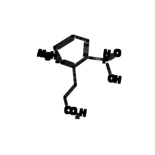 O=C(O)CCc1ccccc1[PH](=O)O.[MgH2]